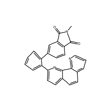 CN1C(=O)c2ccc(-c3ccccc3-c3ccc4ccc5cccnc5c4n3)cc2C1=O